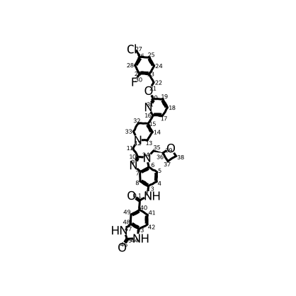 O=C(Nc1ccc2c(c1)nc(CN1CC=C(c3cccc(OCc4ccc(Cl)cc4F)n3)CC1)n2C[C@@H]1CCO1)c1ccc2[nH]c(=O)[nH]c2c1